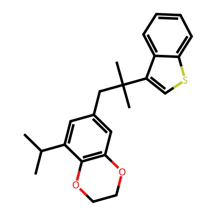 CC(C)c1cc(CC(C)(C)c2csc3ccccc23)cc2c1OCCO2